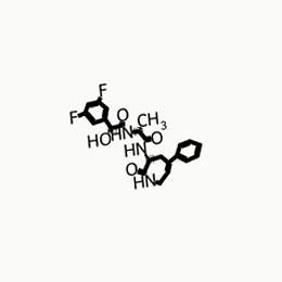 C[C@H](NC(=O)[C@H](O)c1cc(F)cc(F)c1)C(=O)N[C@H]1CC(c2ccccc2)=CCNC1=O